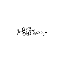 C=C(C)C(=O)OC(C)(C)OC(=O)C=CC(=O)O